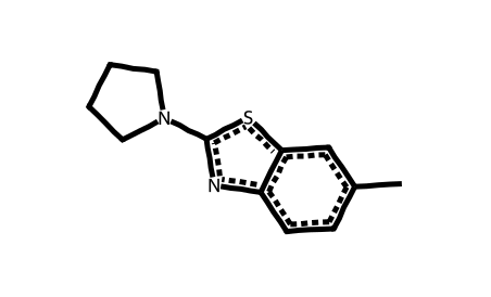 Cc1ccc2nc(N3CCCC3)sc2c1